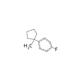 [CH2]C1(c2ccc(F)cc2)CCCC1